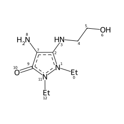 CCn1c(NCCO)c(N)c(=O)n1CC